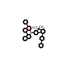 CC1(C)c2cc(N(c3ccc(-c4ccccc4)cc3)c3ccc4ccccc4c3-c3ccccc3)ccc2-c2c(-c3ccc(-c4ccccc4)cc3)cccc21